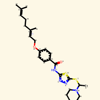 CCC(Sc1nnc(NC(=O)c2ccc(OC/C=C(\C)CCC=C(C)C)cc2)s1)N1CCCCC1